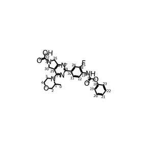 CC1COCCN1c1nc(-c2ccc(NC(=O)Oc3ccccc3)c(F)c2)nc2c1CN(C(=O)O)C2